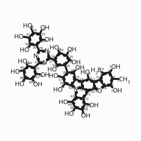 Bc1c(O)c(C)c(O)c2oc3c(c(O)c4c5c(O)c(-c6c(O)c(O)c(O)c(-c7nc(-c8c(O)c(O)c(O)c(O)c8O)nc(-c8c(O)c(O)c(O)c(O)c8O)n7)c6O)c(O)c(O)c5n5c6c(O)c(O)c(O)c(O)c6c3c45)c12